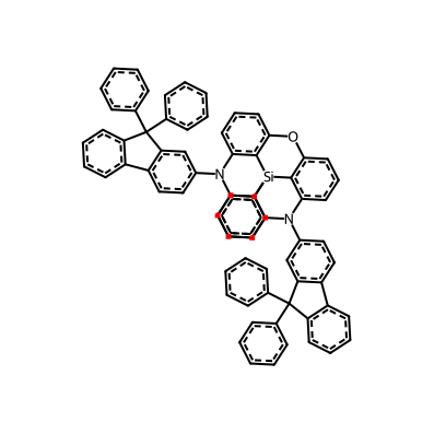 c1ccc(C2(c3ccccc3)c3ccccc3-c3ccc(N4c5cccc6c5[Si]5(c7ccccc7)c7c(cccc7N(c7ccc8c(c7)C(c7ccccc7)(c7ccccc7)c7ccccc7-8)c7cccc4c75)O6)cc32)cc1